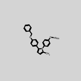 CCCCCCCCCOc1ccc(-n2c(C)ccc2-c2ccc(OCc3ccccc3)cc2)cc1